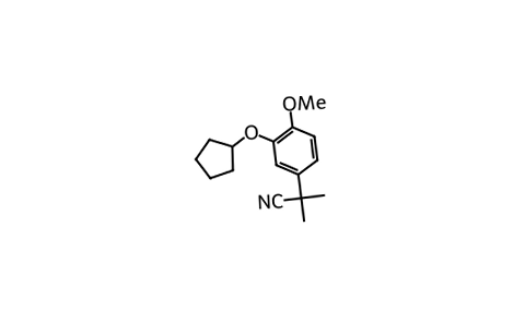 COc1ccc(C(C)(C)C#N)cc1OC1CCCC1